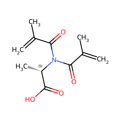 C=C(C)C(=O)N(C(=O)C(=C)C)[C@@H](C)C(=O)O